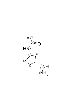 CCC(=O)N[C@H]1CC[C@@H](NN)C1